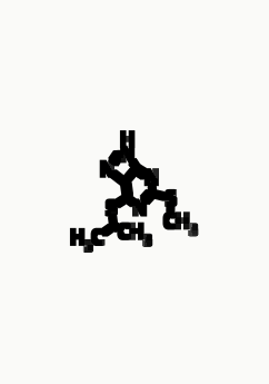 CSc1nc(SC(C)C)c2nc[nH]c2n1